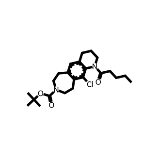 CCCCC(=O)N1CCCc2cc3c(c(Cl)c21)CCN(C(=O)OC(C)(C)C)CC3